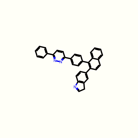 C1=Nc2ccc(-c3ccc4ccccc4c3-c3ccc(-c4ccc(-c5ccccc5)nn4)cc3)cc2C1